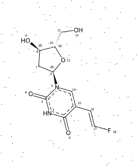 O=c1[nH]c(=O)n([C@H]2C[C@@H](O)[C@H](CO)O2)cc1C=CF